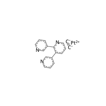 [C-]#[C-].[Pt+2].c1cncc(-c2cccnc2-c2cccnc2)c1